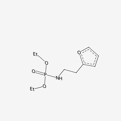 CCOP(=O)(NCCc1ccco1)OCC